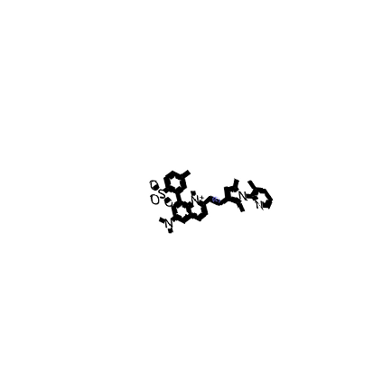 Cc1ccc(S(=O)(=O)[O-])c(-c2cc(N(C)C)cc3ccc(/C=C/c4cc(C)n(-c5ncccc5C)c4C)[n+](C)c23)c1